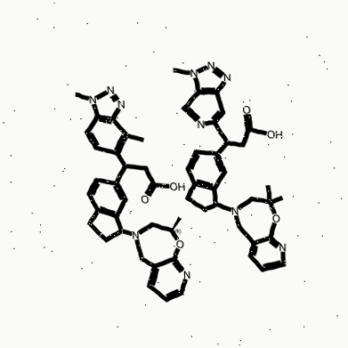 Cc1c(C(CC(=O)O)c2ccc3c(c2)C(N2Cc4cccnc4O[C@H](C)C2)CC3)ccc2c1nnn2C.Cn1nnc2cc(C(CC(=O)O)c3ccc4c(c3)C(N3Cc5cccnc5OC(C)(C)C3)CC4)ncc21